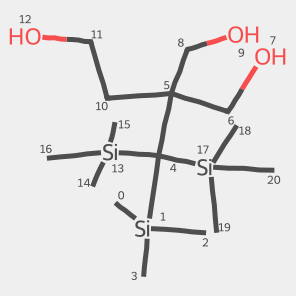 C[Si](C)(C)C(C(CO)(CO)CCO)([Si](C)(C)C)[Si](C)(C)C